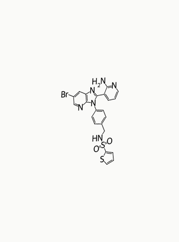 Nc1ncccc1-c1nc2cc(Br)cnc2n1-c1ccc(CNS(=O)(=O)c2cccs2)cc1